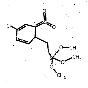 CO[Si](CCC1C=CC(Cl)=CC1=S(=O)=O)(OC)OC